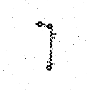 O=C(NCCCCCCOCCCCCNCC(O)COc1cccc(OCc2ccc(F)cc2)c1)c1ccccc1